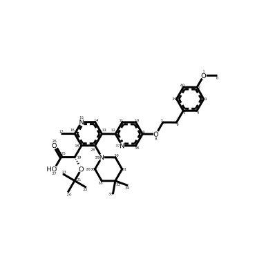 COc1ccc(CCOc2ccc(-c3cnc(C)c([C@H](OC(C)(C)C)C(=O)O)c3N3CCC(C)(C)CC3)nc2)cc1